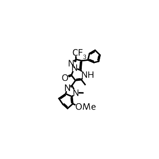 COc1cccc2nc(-c3c(C)[nH]c4c(-c5ccccc5)c(C(F)(F)F)nn4c3=O)n(C)c12